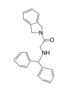 O=C(CNC(c1ccccc1)c1ccccc1)N1Cc2ccccc2C1